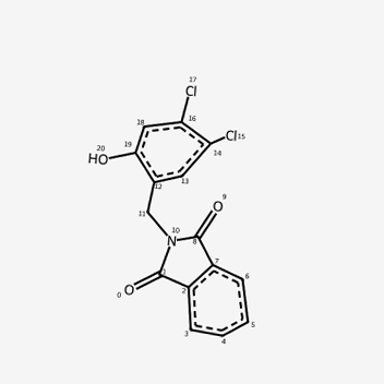 O=C1c2ccccc2C(=O)N1Cc1cc(Cl)c(Cl)cc1O